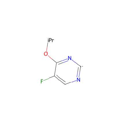 CC(C)Oc1n[c]ncc1F